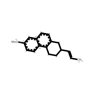 C/C=C/C1CCc2c(ccc3cc(OC)ccc23)C1